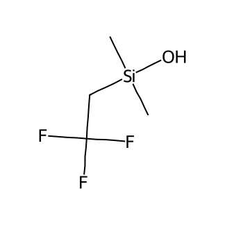 C[Si](C)(O)CC(F)(F)F